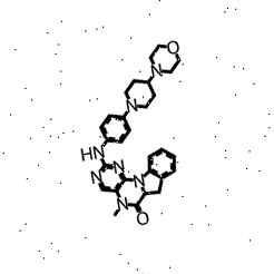 CN1C(=O)C2Cc3ccccc3N2c2nc(Nc3ccc(N4CCC(N5CCOCC5)CC4)cc3)ncc21